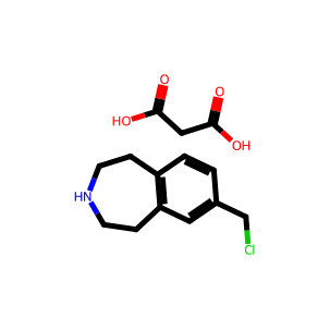 ClCc1ccc2c(c1)CCNCC2.O=C(O)CC(=O)O